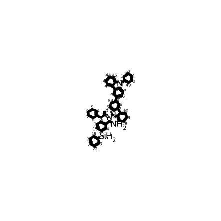 C=C(Cc1ccccc1)N(C(N)c1cccc([SiH2]c2ccccc2)c1)n1c2ccccc2c2cc(-c3ccc4c(c3)c3ccccc3n4-c3ccccc3)ccc21